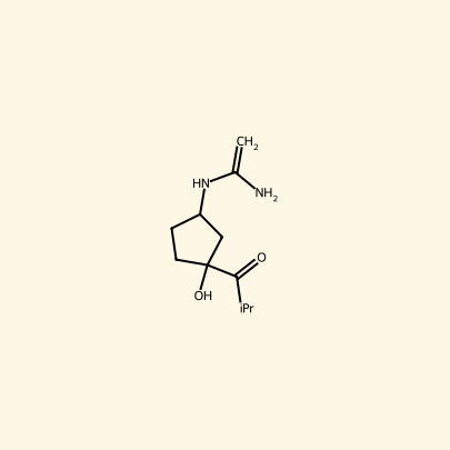 C=C(N)NC1CCC(O)(C(=O)C(C)C)C1